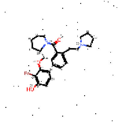 O=C(c1ccccc1CCN1CCCC1)N1CCCC[C@H]1COc1cccc(O)c1Br